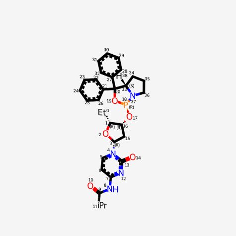 CC[C@H]1O[C@@H](n2ccc(NC(=O)C(C)C)nc2=O)C[C@H]1O[P@@]1OC(c2ccccc2)(c2ccccc2)[C@@H]2CCCN21